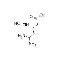 Cl.Cl.NC(N)CCCC(=O)O